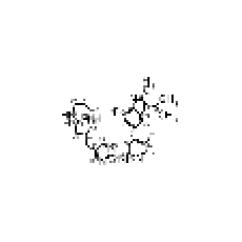 Cc1nc2c(F)cc(-c3cc(Nc4ncc(CC5C[C@@H]6CCCN[C@@H]6C5)cn4)ncc3F)cc2n1C(C)C